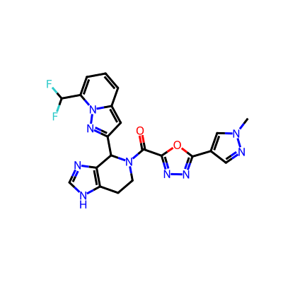 Cn1cc(-c2nnc(C(=O)N3CCc4[nH]cnc4C3c3cc4cccc(C(F)F)n4n3)o2)cn1